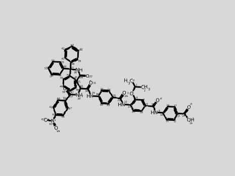 CC(C)Oc1cc(C(=O)Nc2ccc(C(=O)O)cc2)ccc1NC(=O)c1ccc(NC(=O)C(CC(=O)NC(c2ccccc2)(c2ccccc2)c2ccccc2)NC(=O)c2ccc([N+](=O)[O-])cc2)cc1